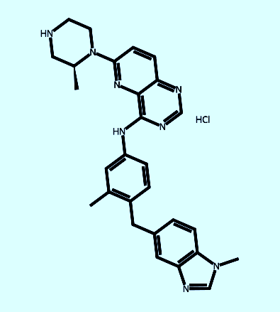 Cc1cc(Nc2ncnc3ccc(N4CCNC[C@@H]4C)nc23)ccc1Cc1ccc2c(c1)ncn2C.Cl